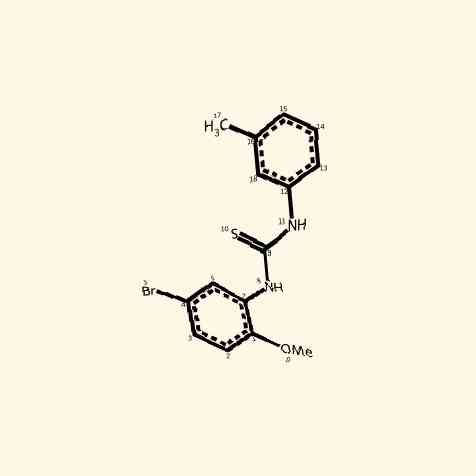 COc1ccc(Br)cc1NC(=S)Nc1cccc(C)c1